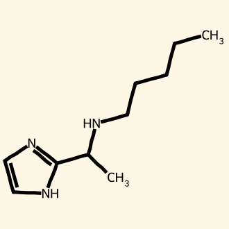 CCCCCNC(C)c1ncc[nH]1